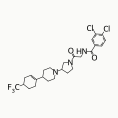 O=C(NCC(=O)N1CCC(N2CCC(C3=CCC(C(F)(F)F)CC3)CC2)C1)c1ccc(Cl)c(Cl)c1